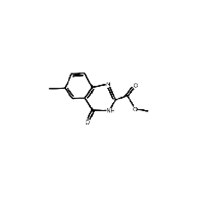 COC(=O)c1nc2ccc(C)cc2c(=O)[nH]1